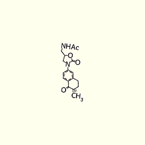 CC(=O)NCC1CN(c2ccc3c(c2)CC[C@H](C)C3=O)C(=O)O1